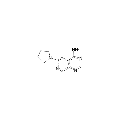 [NH]c1ncnc2cnc(N3CCCC3)cc12